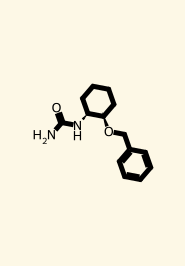 NC(=O)N[C@@H]1CCCC[C@H]1OCc1ccccc1